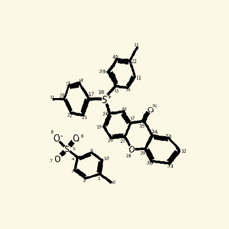 Cc1ccc(S(=O)(=O)[O-])cc1.Cc1ccc([S+](c2ccc(C)cc2)c2ccc3oc4ccccc4c(=O)c3c2)cc1